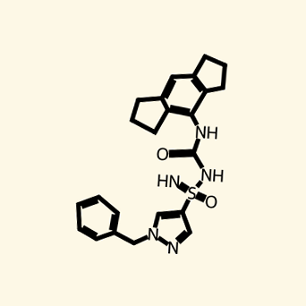 N=S(=O)(NC(=O)Nc1c2c(cc3c1CCC3)CCC2)c1cnn(Cc2ccccc2)c1